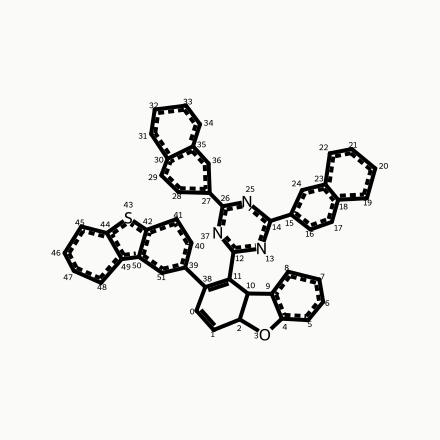 C1=CC2Oc3ccccc3C2C(c2nc(-c3ccc4ccccc4c3)nc(-c3ccc4ccccc4c3)n2)=C1c1ccc2sc3ccccc3c2c1